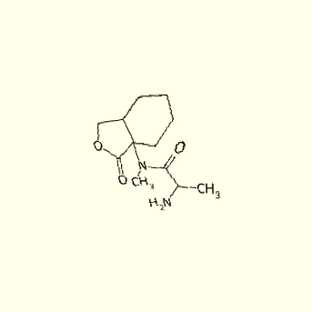 CC(N)C(=O)N(C)C12CCCCC1COC2=O